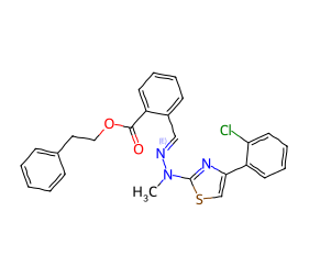 CN(/N=C/c1ccccc1C(=O)OCCc1ccccc1)c1nc(-c2ccccc2Cl)cs1